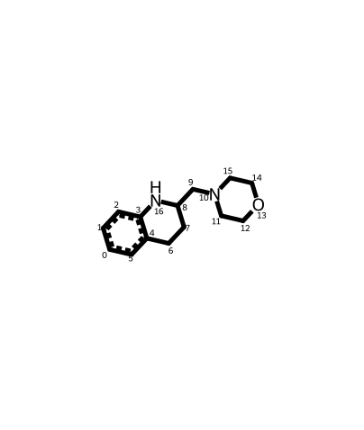 c1ccc2c(c1)CCC(CN1CCOCC1)N2